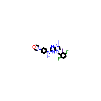 Fc1ccc(F)c(CN2CCNc3ncc(Nc4ccc(N5CCOCC5)cc4)nc32)c1I